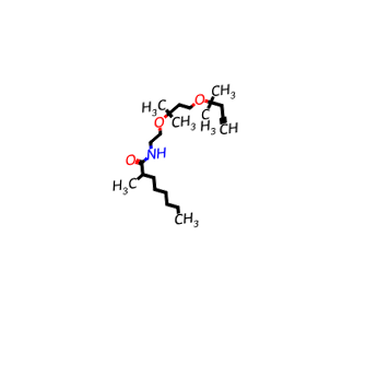 C#CCC(C)(C)OCCC(C)(C)OCCNC(=O)C(C)CCCCCC